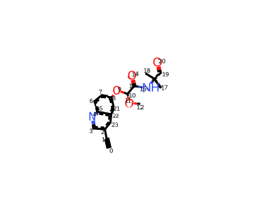 C#Cc1cnc2ccc(OC(OC)C(=O)NC(C)(C)C=O)cc2c1